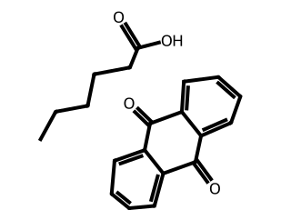 CCCCCC(=O)O.O=C1c2ccccc2C(=O)c2ccccc21